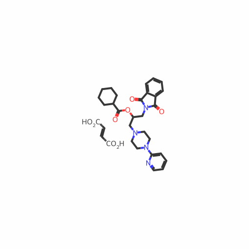 O=C(O)C=CC(=O)O.O=C(OC(CN1CCN(c2ccccn2)CC1)CN1C(=O)c2ccccc2C1=O)C1CCCCC1